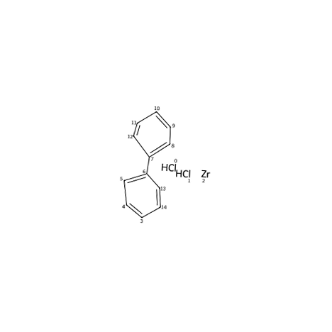 Cl.Cl.[Zr].c1ccc(-c2ccccc2)cc1